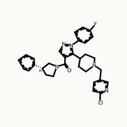 O=C(c1cnn(-c2ccc(F)cc2)c1C1CCN(Cc2ccc(Cl)nc2)CC1)N1CC[C@H](c2ccccc2)C1